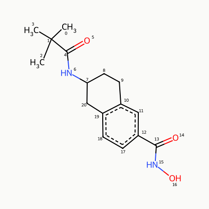 CC(C)(C)C(=O)NC1CCc2cc(C(=O)NO)ccc2C1